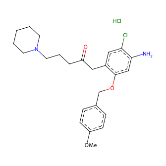 COc1ccc(COc2cc(N)c(Cl)cc2CC(=O)CCCN2CCCCC2)cc1.Cl